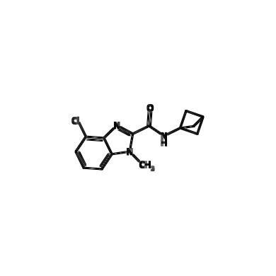 Cn1c(C(=O)NC23CC(C2)C3)nc2c(Cl)cccc21